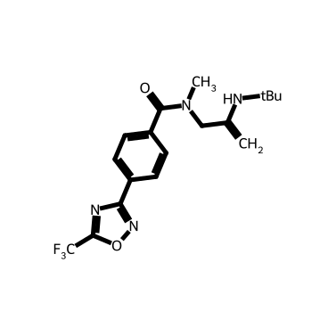 C=C(CN(C)C(=O)c1ccc(-c2noc(C(F)(F)F)n2)cc1)NC(C)(C)C